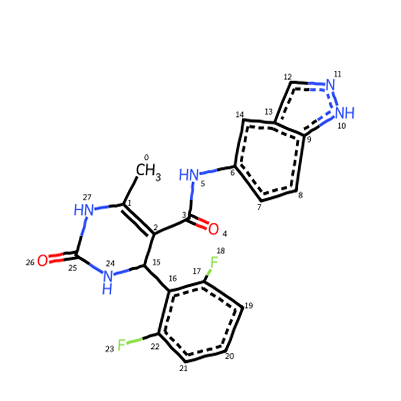 CC1=C(C(=O)Nc2ccc3[nH]ncc3c2)C(c2c(F)cccc2F)NC(=O)N1